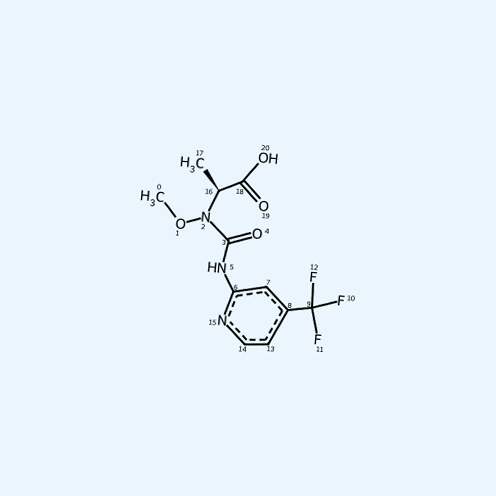 CON(C(=O)Nc1cc(C(F)(F)F)ccn1)[C@@H](C)C(=O)O